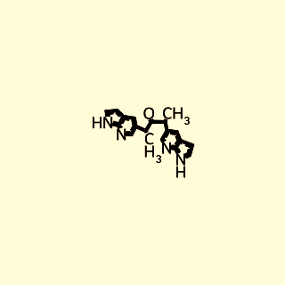 CC(C(=O)C(C)c1cnc2[nH]ccc2c1)c1cnc2[nH]ccc2c1